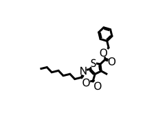 CCCCCCCc1nc2sc(C(=O)OCc3ccccc3)c(C)c2c(=O)o1